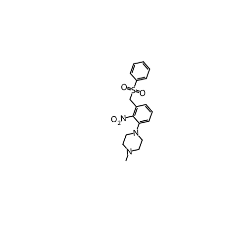 CN1CCN(c2cccc(CS(=O)(=O)c3ccccc3)c2[N+](=O)[O-])CC1